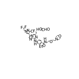 CCc1cc(Nc2nccn3c(-c4cn(CC(F)F)nc4C(F)(F)F)cnc23)ccc1C(=O)NCCOCCN1CCOCC1.O=CO